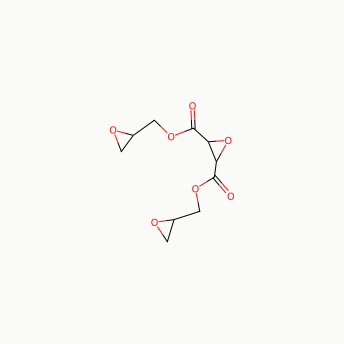 O=C(OCC1CO1)C1OC1C(=O)OCC1CO1